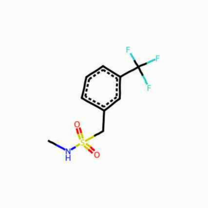 CNS(=O)(=O)Cc1cccc(C(F)(F)F)c1